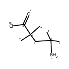 BC(C)(C)CC(C)(C)C(=O)Cl